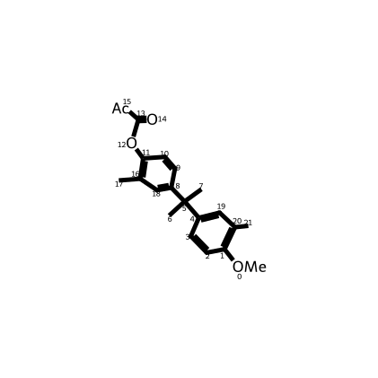 COc1ccc(C(C)(C)c2ccc(OC(=O)C(C)=O)c(C)c2)cc1C